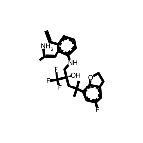 C=Cc1cccc(NC[C@@](O)(CC(C)(C)c2cc(F)cc3c2OCC3)C(F)(F)F)c1/C=C(/C)N